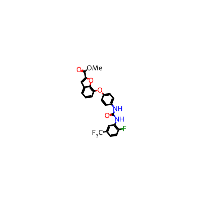 COC(=O)c1cc2cccc(Oc3ccc(NC(=O)Nc4cc(C(F)(F)F)ccc4F)cc3)c2o1